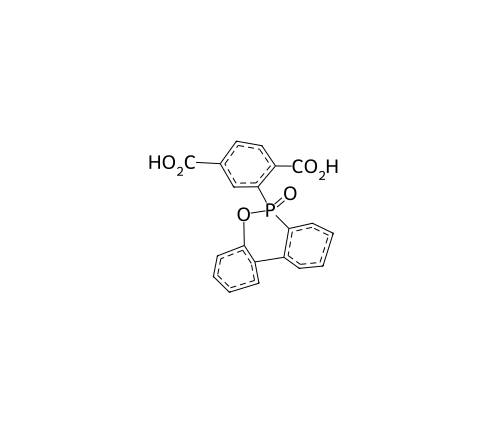 O=C(O)c1ccc(C(=O)O)c(P2(=O)Oc3ccccc3-c3ccccc32)c1